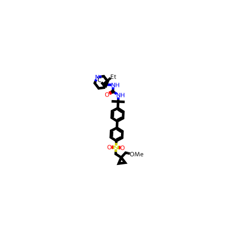 CCC1(NC(=O)NC(C)(C)c2ccc(-c3ccc(S(=O)(=O)CC4(COC)CC4)cc3)cc2)CN2CCC1CC2